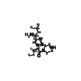 CC[C@H](C)[C@@H](C(=O)N1CCNCC1)n1cc([C@@H](N)CC(C)C)nn1